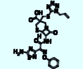 C=CCn1nnnc1SCC1(C(=O)O)CS[C@@H]2C(NC(=O)C(=NOc3ccccc3)c3nsc(N)n3)C(=O)N2C1